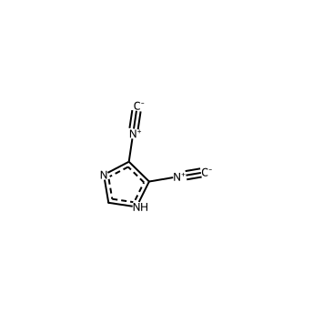 [C-]#[N+]c1nc[nH]c1[N+]#[C-]